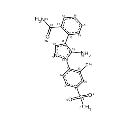 CS(=O)(=O)c1ccc(-n2ncc(-c3ccccc3C(N)=O)c2N)c(F)c1